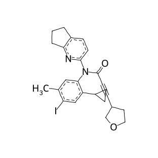 Cc1cc(N(C(=O)C#CC2CCOC2)c2ccc3c(n2)CCC3)c(C2CC2)cc1I